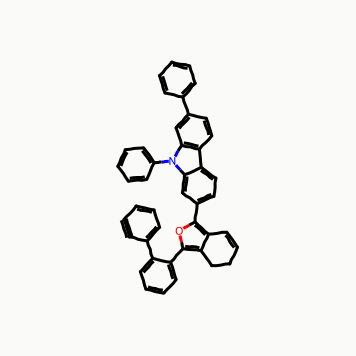 c1cccc(-c2ccccc2-c2oc(-c3ccc4c5ccc(-c6ccccc6)cc5n(-c5ccccc5)c4c3)c3c2CCC=C3)c#1